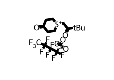 CC(C)(C)C(=O)C[S+]1CCC(=O)CC1.O=S(=O)([O-])C(F)(F)C(F)(F)C(F)(F)C(F)(F)F